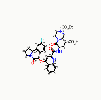 CCOC(=O)N1CCN(C(=O)C(CCC(=O)O)NC(=O)c2cc(OCC(=O)N3CCCC3c3cccc(F)c3)c3ccccc3n2)CC1